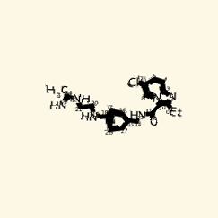 CCc1nc2ccc(Cl)cn2c1C(=O)NCc1ccc(NCCNC(C)=N)cc1